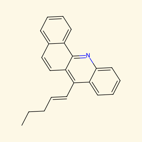 CCCC=Cc1c2ccccc2nc2c1ccc1ccccc12